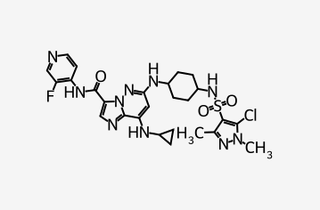 Cc1nn(C)c(Cl)c1S(=O)(=O)NC1CCC(Nc2cc(NC3CC3)c3ncc(C(=O)Nc4ccncc4F)n3n2)CC1